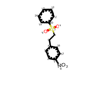 O=[N+]([O-])c1ccc(CCS(=O)(=O)c2ccccc2)cc1